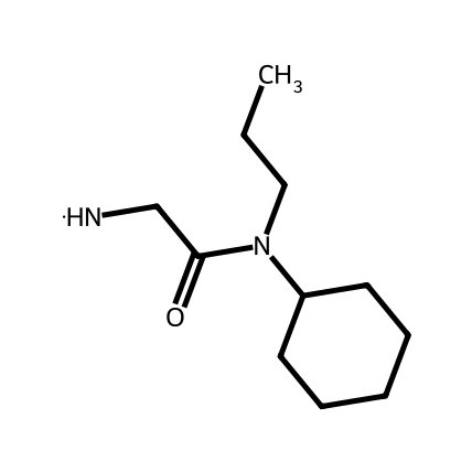 CCCN(C(=O)C[NH])C1CCCCC1